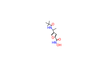 CC(NC(=O)C(C)(C)C)c1coc(C(=O)NO)c1